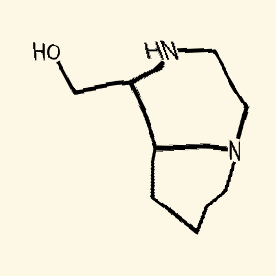 OCC1NCCN2CCCC12